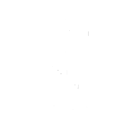 O=C(O)c1csc([S+]([O-])Nc2cccc3cccnc23)c1